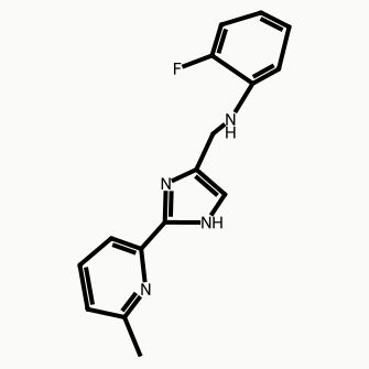 Cc1cccc(-c2nc(CNc3ccccc3F)c[nH]2)n1